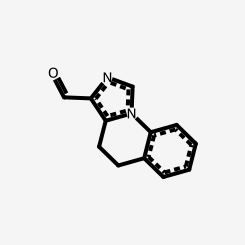 O=Cc1ncn2c1CCc1ccccc1-2